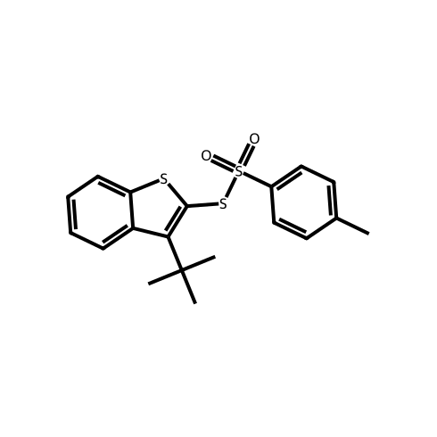 Cc1ccc(S(=O)(=O)Sc2sc3ccccc3c2C(C)(C)C)cc1